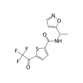 CC(NC(=O)c1ccc(C(=O)C(F)(F)F)s1)c1ccno1